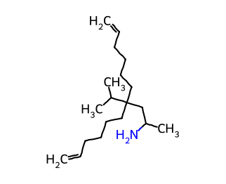 C=CCCCCC(CCCCC=C)(CC(C)N)C(C)C